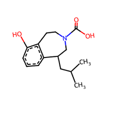 CC(C)CC1CN(C(=O)O)CCc2c(O)cccc21